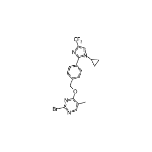 Cc1cnc(Br)nc1OCc1ccc(-c2nc(C(F)(F)F)cn2C2CC2)cc1